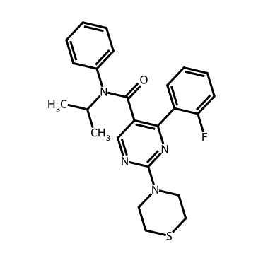 CC(C)N(C(=O)c1cnc(N2CCSCC2)nc1-c1ccccc1F)c1ccccc1